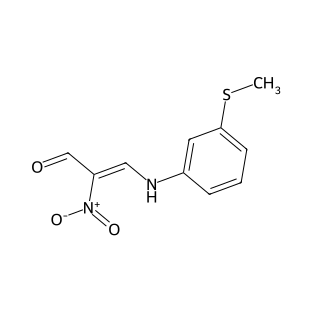 CSc1cccc(NC=C(C=O)[N+](=O)[O-])c1